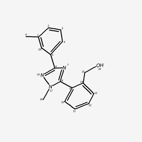 Cc1cccc(-c2nc(-c3ccccc3CO)n(C)n2)c1